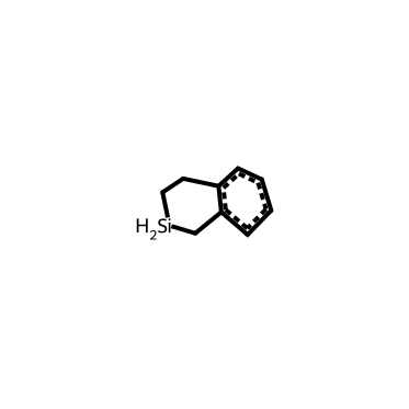 c1ccc2c(c1)CC[SiH2]C2